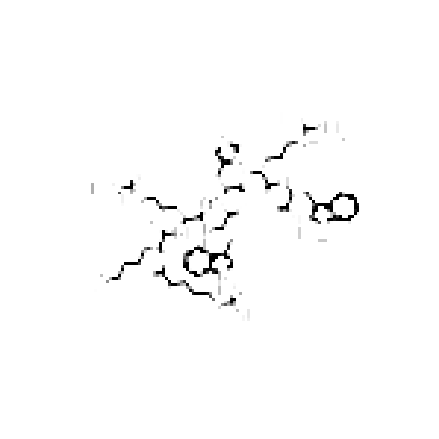 C[C@@H](CCCNC(=N)N)C(=O)N[C@@H](CCCCN)C(=O)N[C@@H](CCCNC(=N)N)C(=O)N[C@@H](Cc1c[nH]c2ccccc12)C(=O)N[C@@H](Cc1c[nH]cn1)C(=O)N[C@@H](CCCNC(=N)N)C(=O)N[C@@H](Cc1c[nH]c2ccccc12)C(N)=O